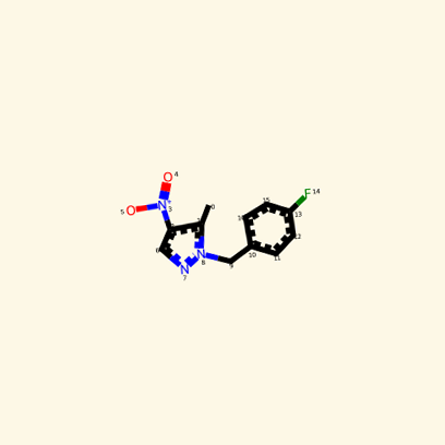 Cc1c([N+](=O)[O-])cnn1Cc1ccc(F)cc1